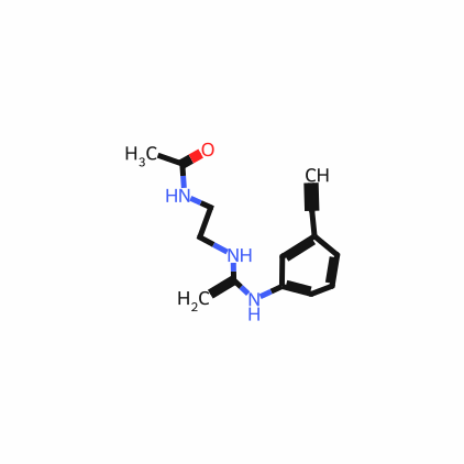 C#Cc1cccc(NC(=C)NCCNC(C)=O)c1